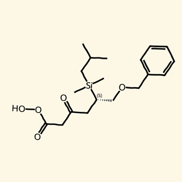 CC(C)C[Si](C)(C)[C@H](COCc1ccccc1)CC(=O)CC(=O)OO